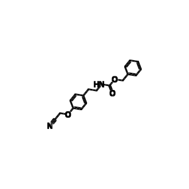 N#CCOc1ccc(CCNC(=O)OCc2ccccc2)cc1